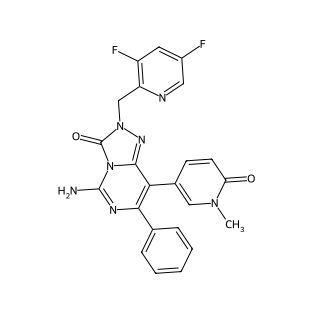 Cn1cc(-c2c(-c3ccccc3)nc(N)n3c(=O)n(Cc4ncc(F)cc4F)nc23)ccc1=O